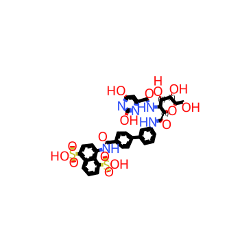 O=C(Nc1ccc(S(=O)(=O)O)c2cccc(S(=O)(=O)O)c12)c1ccc(-c2cccc(NC(=O)[C@@H]3OC(CO)[C@@H](O)[C@H](O)C3NC(=O)c3cc(O)nc(O)n3)c2)cc1